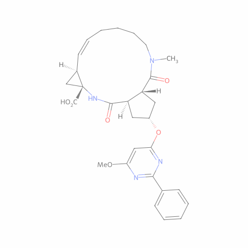 COc1cc(O[C@@H]2C[C@H]3C(=O)N[C@]4(C(=O)O)C[C@H]4/C=C\CCCCN(C)C(=O)[C@@H]3C2)nc(-c2ccccc2)n1